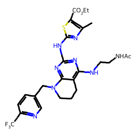 CCOC(=O)c1sc(Nc2nc(NCCNC(C)=O)c3c(n2)N(Cc2ccc(C(F)(F)F)nc2)CCC3)nc1C